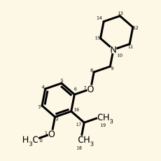 COc1cccc(OCCN2CCCCC2)c1C(C)C